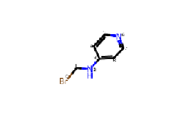 BrCNc1ccncc1